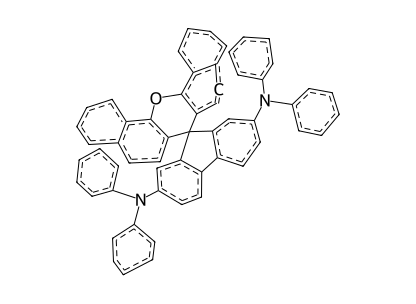 c1ccc(N(c2ccccc2)c2ccc3c(c2)C2(c4cc(N(c5ccccc5)c5ccccc5)ccc4-3)c3ccc4ccccc4c3Oc3c2ccc2ccccc32)cc1